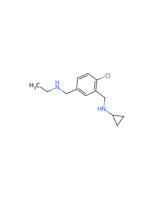 CCNCc1ccc(Cl)c(CNC2CC2)c1